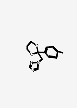 Cc1ccc(C2(Cn3cncn3)OCCCO2)cc1